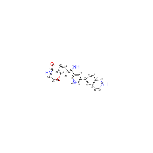 N=C(c1cncc(-c2ccc3c(c2)CCNC3)c1)c1ccc2c(c1)OCCNC2=O